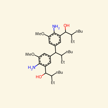 CCCCC(CC)C(O)c1cc(C(c2cc(OC)c(N)c(C(O)C(CC)CCCC)c2)C(CC)CCCC)cc(OC)c1N